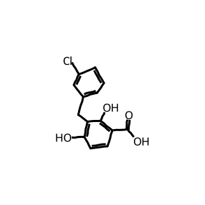 O=C(O)c1ccc(O)c(Cc2cccc(Cl)c2)c1O